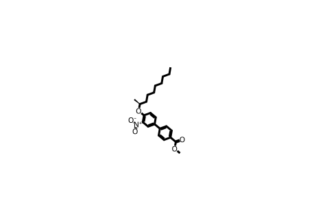 CCCCCCCC[C@H](C)Oc1ccc(-c2ccc(C(=O)OC)cc2)cc1[N+](=O)[O-]